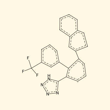 FC(F)(F)c1cccc(-c2c(-c3nnn[nH]3)[c]ccc2-c2ccc3ccccc3c2)c1